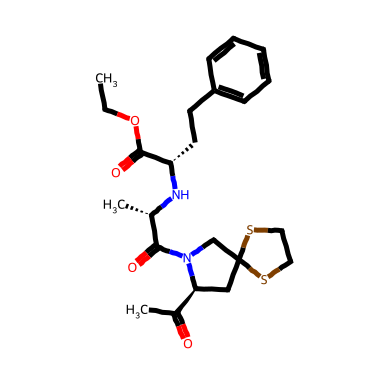 CCOC(=O)[C@H](CCc1ccccc1)N[C@@H](C)C(=O)N1CC2(C[C@H]1C(C)=O)SCCS2